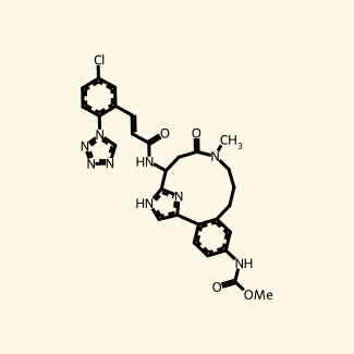 COC(=O)Nc1ccc2c(c1)CCCN(C)C(=O)CC(NC(=O)C=Cc1cc(Cl)ccc1-n1cnnn1)c1nc-2c[nH]1